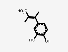 CC(C(=O)O)=C(C)c1ccc(O)c(O)c1